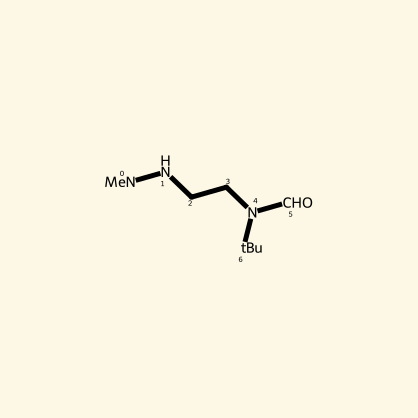 CNNCCN(C=O)C(C)(C)C